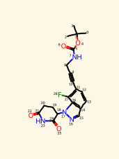 CC(C)(C)OC(=O)NCC#Cc1ccc2cnn(C3CCC(=O)NC3=O)c2c1F